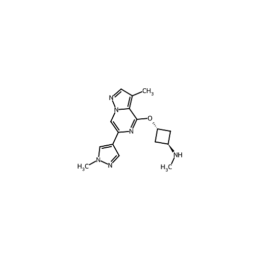 CN[C@H]1C[C@H](Oc2nc(-c3cnn(C)c3)cn3ncc(C)c23)C1